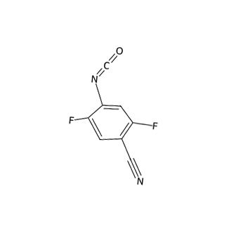 N#Cc1cc(F)c(N=C=O)cc1F